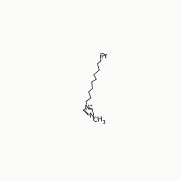 CC(C)CCCCCCCCCC[n+]1ccn(C)c1